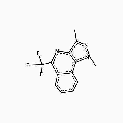 Cc1nn(C)c2c1nc(C(F)(F)F)c1ccccc12